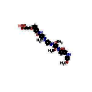 COc1ccc(Nc2ccc3c(O)c(N=Nc4cc(OC)c(N=Nc5ccc(N=Nc6ccc(C(=O)Nc7ccc8c(OCCCCS(=O)(=O)O)cccc8c7)cc6C)cc5)cc4OC)ccc3c2)cc1